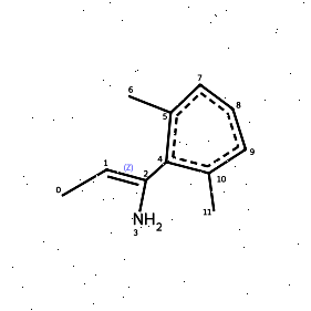 C/C=C(\N)c1c(C)cccc1C